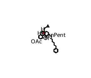 CCCCCN(CCCCCCc1ccccc1)[C@H]1CC[C@@]2(O)[C@H]3Cc4ccc(OC(C)=O)c5c4[C@@]2(CCN3CC2CC2)[C@H]1O5